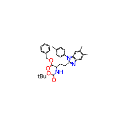 Cc1ccc(-n2c(CCC(NC(=O)OC(C)(C)C)C(=O)OCc3ccccc3)nc3cc(C)c(C)cc32)cc1